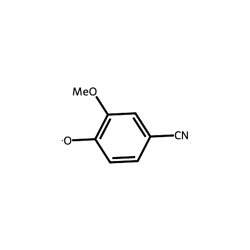 COc1cc(C#N)ccc1[O]